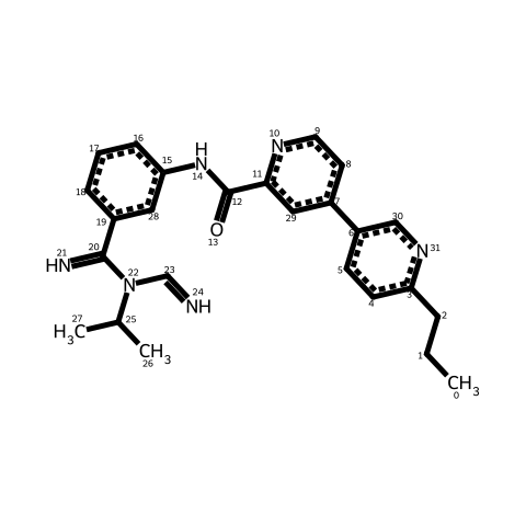 CCCc1ccc(-c2ccnc(C(=O)Nc3cccc(C(=N)N(C=N)C(C)C)c3)c2)cn1